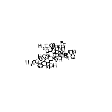 CCC(=O)[C@]1(O)Cc2c(O)c3c(c(O)c2[C@@H](OC2CC(NC(=O)[C@@H]4CC(F)(F)CN4C(=O)[C@@H](C)NC(=O)c4ccnc5ccccc45)C(O)C(C)O2)C1)C(=O)c1c(OC)cccc1C3=O